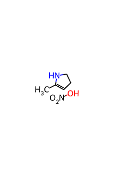 CC1=CCCN1.O=[N+]([O-])O